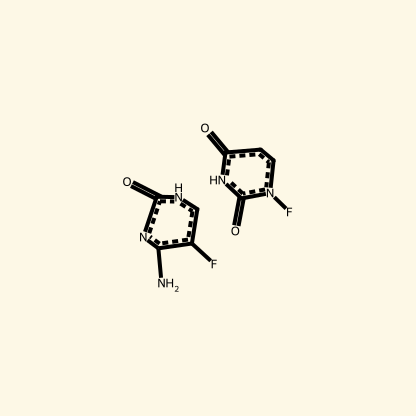 Nc1nc(=O)[nH]cc1F.O=c1ccn(F)c(=O)[nH]1